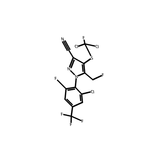 N#Cc1nn(-c2c(F)cc(C(F)(F)F)cc2Cl)c(CF)c1SC(F)(Cl)Cl